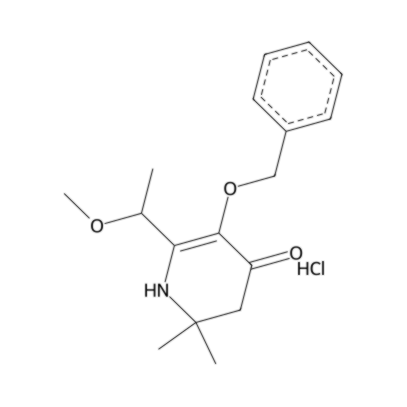 COC(C)C1=C(OCc2ccccc2)C(=O)CC(C)(C)N1.Cl